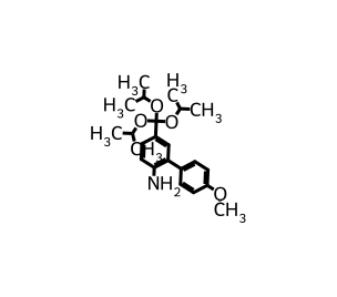 COc1ccc(-c2cc(C(OC(C)C)(OC(C)C)OC(C)C)ccc2N)cc1